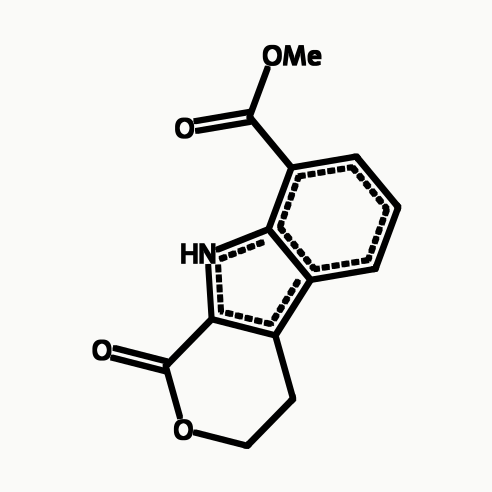 COC(=O)c1cccc2c3c([nH]c12)C(=O)OCC3